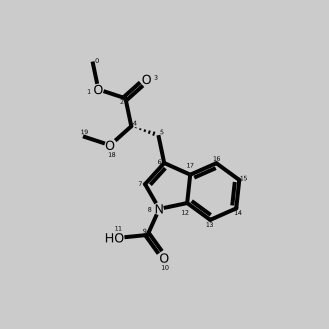 COC(=O)[C@H](Cc1cn(C(=O)O)c2ccccc12)OC